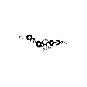 COc1cnc(-c2ccc(C[C@@H](C=O)c3c(SC(C)(C)C)c4cc(OCc5ccc(C)cn5)ccc4n3C)cc2)nc1